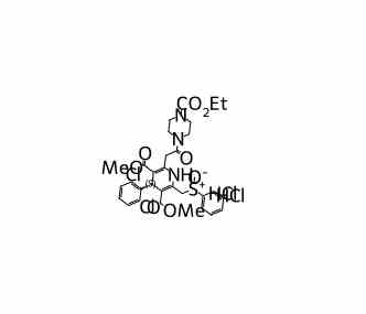 CCOC(=O)N1CCN(C(=O)CC2=C(C(=O)OC)[C@H](c3c(Cl)cccc3Cl)C(C(=O)OC)=C(C[S+]([O-])c3ccccc3)N2)CC1.Cl.Cl